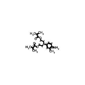 C=C(C)C(=O)OCCN(CCOC(=O)C(=C)C)c1ccc(N)c(C)c1